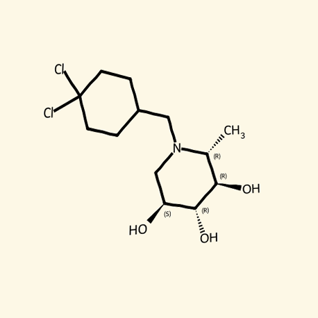 C[C@@H]1[C@@H](O)[C@H](O)[C@@H](O)CN1CC1CCC(Cl)(Cl)CC1